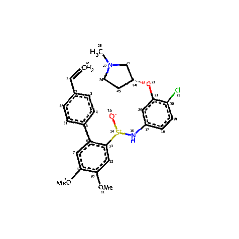 C=Cc1ccc(-c2cc(OC)c(OC)cc2[S+]([O-])Nc2ccc(Cl)c(O[C@@H]3CCN(C)C3)c2)cc1